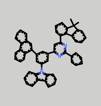 CC1(C)c2ccccc2-c2c(-c3cc(-c4cc(-c5cc6ccccc6c6ccccc56)cc(-n5c6ccccc6c6ccccc65)c4)nc(-c4ccccc4)n3)cccc21